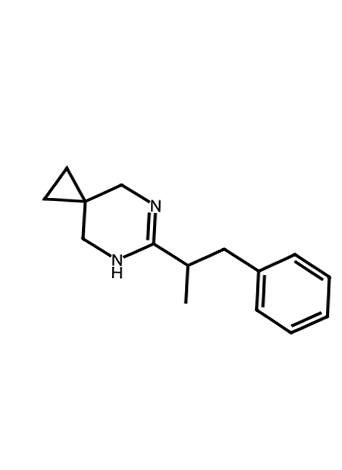 CC(Cc1ccccc1)C1=NCC2(CC2)CN1